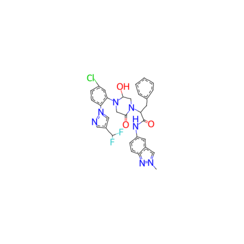 Cn1cc2cc(NC(=O)C(Cc3ccccc3)N3CC(O)N(c4cc(Cl)ccc4-n4cc(C(F)F)cn4)CC3=O)ccc2n1